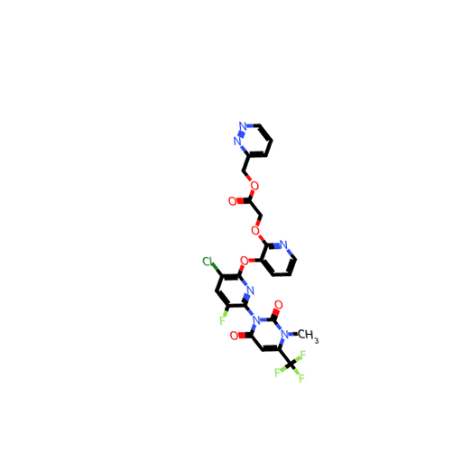 Cn1c(C(F)(F)F)cc(=O)n(-c2nc(Oc3cccnc3OCC(=O)OCc3cccnn3)c(Cl)cc2F)c1=O